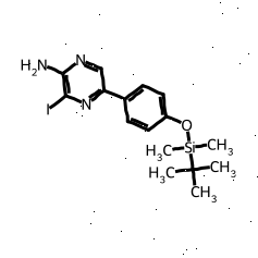 CC(C)(C)[Si](C)(C)Oc1ccc(-c2cnc(N)c(I)n2)cc1